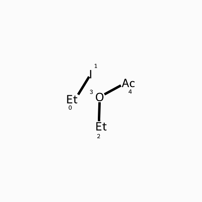 CCI.CCOC(C)=O